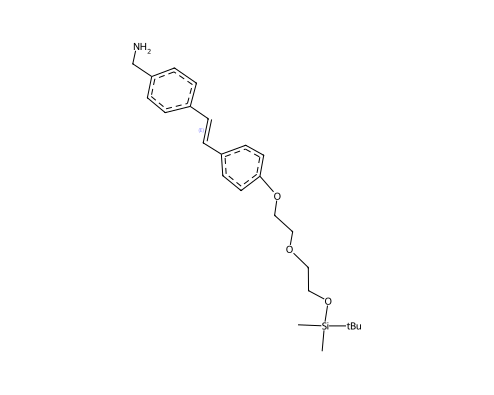 CC(C)(C)[Si](C)(C)OCCOCCOc1ccc(/C=C/c2ccc(CN)cc2)cc1